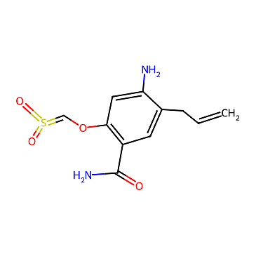 C=CCc1cc(C(N)=O)c(OC=S(=O)=O)cc1N